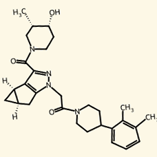 Cc1cccc(C2CCN(C(=O)Cn3nc(C(=O)N4CC[C@@H](O)[C@@H](C)C4)c4c3C[C@H]3C[C@@H]43)CC2)c1C